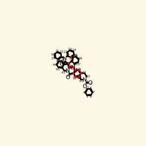 O=C(Oc1ccccc1)N1CCc2cc(-n3nc(C(=O)N(c4ccccc4)c4ccccc4)c4ccccc43)c(C(=O)N3Cc4ccccc4C[C@H]3CN3CCOCC3)cc2C1